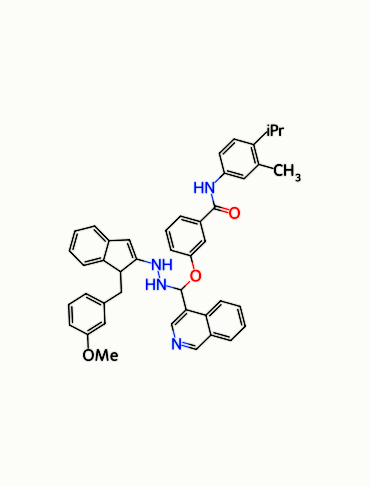 COc1cccc(CC2C(NNC(Oc3cccc(C(=O)Nc4ccc(C(C)C)c(C)c4)c3)c3cncc4ccccc34)=Cc3ccccc32)c1